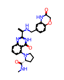 C=C(NCc1ccc2c(c1)NC(=O)CO2)c1nc2cccc(N3CCC[C@@H]3C(=O)NC)c2c(=O)[nH]1